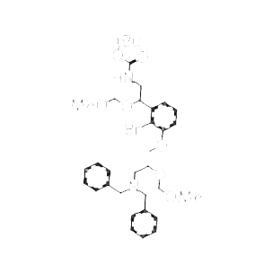 COCOC(CNC(=O)OC(C)(C)C)c1cccc(OC[C@@H](CN(Cc2ccccc2)Cc2ccccc2)OCOC)c1Br